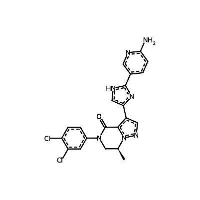 C[C@H]1CN(c2ccc(Cl)c(Cl)c2)C(=O)c2c(-c3c[nH]c(-c4ccc(N)nc4)n3)cnn21